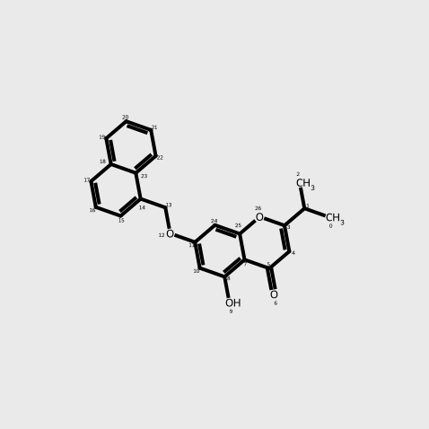 CC(C)c1cc(=O)c2c(O)cc(OCc3cccc4ccccc34)cc2o1